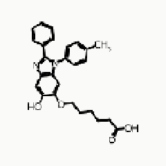 Cc1ccc(-n2c(-c3ccccc3)nc3cc(O)c(OCCCCCC(=O)O)cc32)cc1